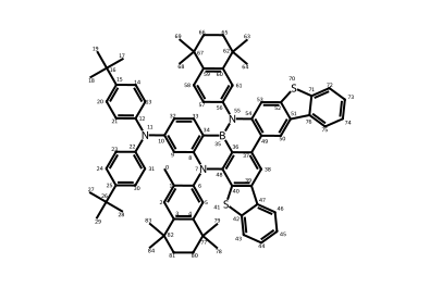 Cc1cc2c(cc1N1c3cc(N(c4ccc(C(C)(C)C)cc4)c4ccc(C(C)(C)C)cc4)ccc3B3c4c(cc5c(sc6ccccc65)c41)-c1cc4c(cc1N3c1ccc3c(c1)C(C)(C)CCC3(C)C)sc1ccccc14)C(C)(C)CCC2(C)C